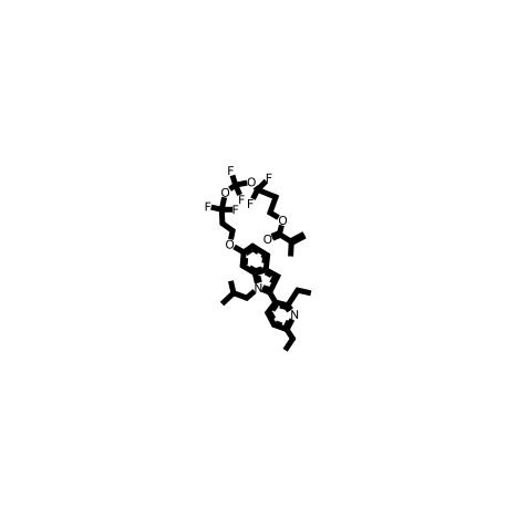 C=C(C)C(=O)OCCC(F)(F)OC(F)(F)OC(F)(F)CCOc1ccc2cc(-c3ccc(CC)nc3CC)n(CC(C)C)c2c1